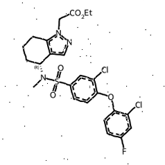 CCOC(=O)Cn1ncc2c1CCC[C@H]2N(C)S(=O)(=O)c1ccc(Oc2ccc(F)cc2Cl)c(Cl)c1